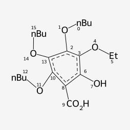 CCCCOc1c(OCC)c(O)c(C(=O)O)c(OCCCC)c1OCCCC